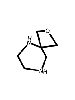 C1CNC2(CN1)COC2